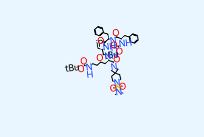 CC(C)C[C@@H](NC(=O)[C@@H](Cc1ccccc1)NC(=O)[C@@H](Cc1ccccc1)NC(=O)OC(C)(C)C)C(=O)N[C@H](CCCCNC(=O)OC(C)(C)C)C(=O)N1CC2(CCN(S(=O)(=O)N(C)C)CC2)C1